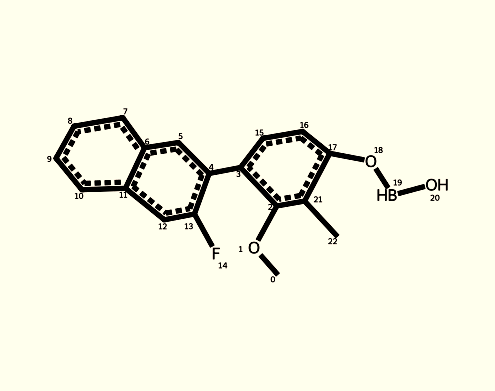 COc1c(-c2cc3ccccc3cc2F)ccc(OBO)c1C